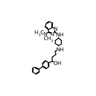 CN(C)c1nc(N[C@H]2CC[C@@H](NCCCC(O)c3ccc(-c4ccccc4)cc3)CC2)nc2ccccc12